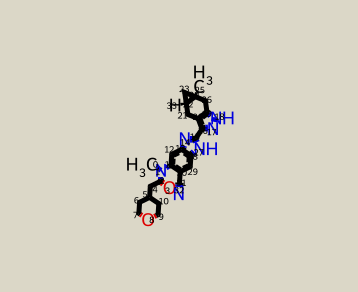 CN(C(=O)CC1CCOCC1)c1cc2nc(-c3n[nH]c4c3C[C@@H]3C[C@]3(C)C4)[nH]c2cc1C#N